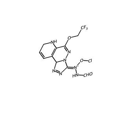 O=CN[N+](OCl)=C1N=NC2C3=C(NCC=C3)C(OCC(F)(F)F)=NN12